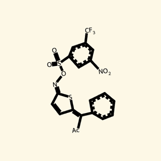 CC(=O)C(=C1C=CC(=NOS(=O)(=O)c2cc([N+](=O)[O-])cc(C(F)(F)F)c2)S1)c1ccccc1